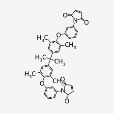 Cc1cc(C(C)(C)c2cc(C)c(Oc3cccc(N4C(=O)C=CC4=O)c3)c(C)c2)cc(C)c1Oc1cccc(N2C(=O)C=CC2=O)c1